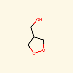 OCC1COOC1